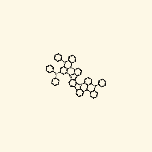 c1ccc(N(c2ccccc2)c2cc3c4c(c2)-n2c5ccc6c7cccc8c7n(c6c5c5cccc(c52)B4c2ccccc2N3c2ccccc2)-c2cccc3c2B8c2ccccc2N3c2ccccc2)cc1